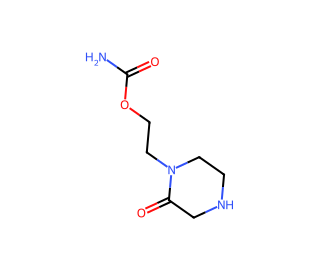 NC(=O)OCCN1CCNCC1=O